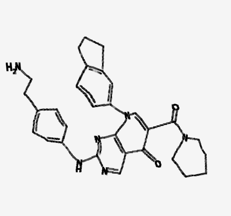 NCCc1ccc(Nc2ncc3c(=O)c(C(=O)N4CCCCC4)cn(-c4ccc5c(c4)CCC5)c3n2)cc1